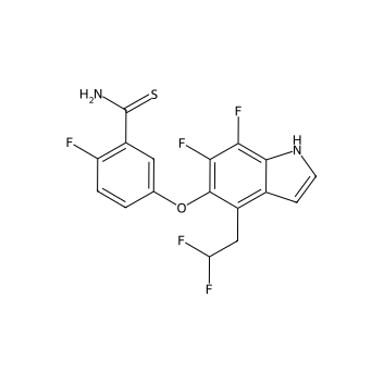 NC(=S)c1cc(Oc2c(F)c(F)c3[nH]ccc3c2CC(F)F)ccc1F